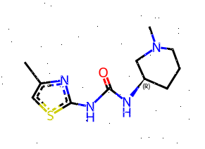 Cc1csc(NC(=O)N[C@@H]2CCCN(C)C2)n1